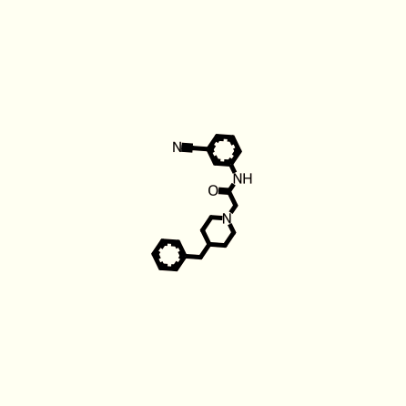 N#Cc1cccc(NC(=O)CN2CCC(Cc3ccccc3)CC2)c1